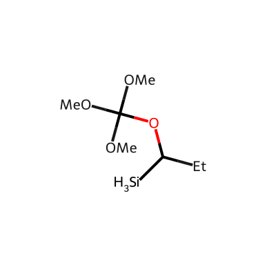 CCC([SiH3])OC(OC)(OC)OC